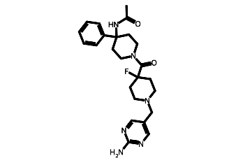 CC(=O)NC1(c2ccccc2)CCN(C(=O)C2(F)CCN(Cc3cnc(N)nc3)CC2)CC1